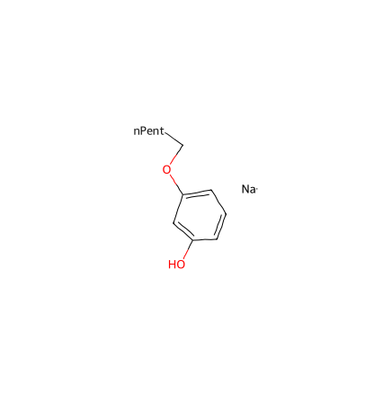 CCCCCCOc1cccc(O)c1.[Na]